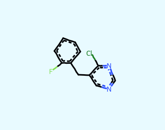 Fc1ccccc1Cc1cncnc1Cl